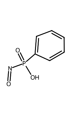 O=NP(=O)(O)c1ccccc1